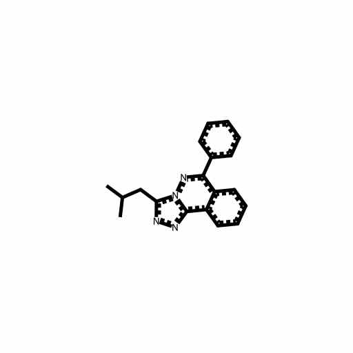 CC(C)Cc1nnc2c3ccccc3c(-c3ccccc3)nn12